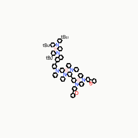 CC(C)(C)c1ccc(N2c3ccc(C(C)(C)C)cc3B3c4ccc(C(C)(C)C)cc4N(c4cccc5cc(-c6cccc(N(c7ccccc7)c7ccc8c(c7)N(c7ccccc7)c7cc(-c9ccc%10c(c9)B9c%11ccccc%11N(c%11ccc%12c(c%11)oc%11ccccc%11%12)c%11cccc(c%119)N%10c9ccc%10c(c9)oc9ccccc9%10)cc9c7B8c7ccccc7N9c7ccccc7)c6)ccc45)c4cccc2c43)cc1